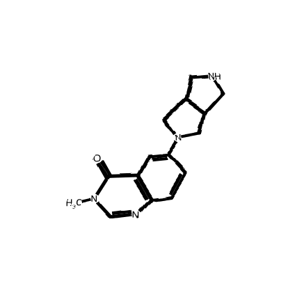 Cn1cnc2ccc(N3CC4CNCC4C3)cc2c1=O